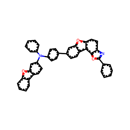 c1ccc(-c2nc3ccc4oc5cc(-c6ccc(N(c7ccccc7)c7ccc8c(c7)oc7ccccc78)cc6)ccc5c4c3o2)cc1